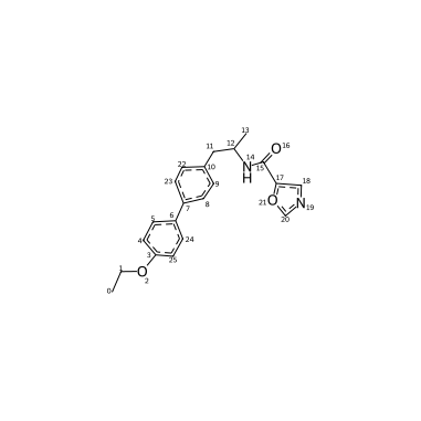 CCOc1ccc(-c2ccc(CC(C)NC(=O)c3cnco3)cc2)cc1